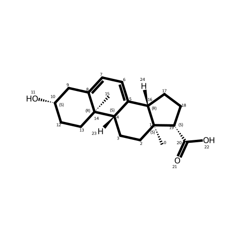 C[C@]12CC[C@H]3C(=CC=C4C[C@@H](O)CC[C@@]43C)[C@@H]1CC[C@@H]2C(=O)O